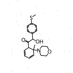 CSc1ccc(C(O)C(=O)C2C=CC=CC2(C)N2CCOCC2)cc1